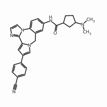 CN(C)C1CCC(C(=O)Nc2ccc3c(c2)Cn2cc(-c4ccc(C#N)cc4)cc2-c2nccn2-3)C1